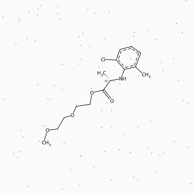 COCCOCCOC(=O)[C@H](C)Nc1c(C)cccc1Cl